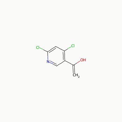 C=C(O)c1cnc(Cl)cc1Cl